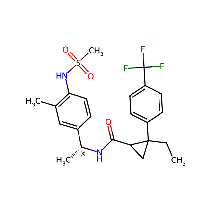 CCC1(c2ccc(C(F)(F)F)cc2)CC1C(=O)N[C@H](C)c1ccc(NS(C)(=O)=O)c(C)c1